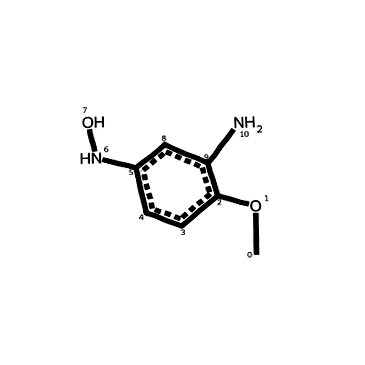 COc1ccc(NO)cc1N